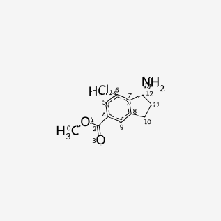 COC(=O)c1ccc2c(c1)CC[C@H]2N.Cl